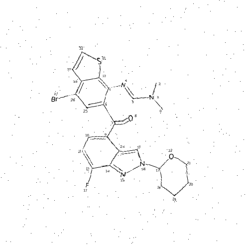 CN(C)/C=N/c1c(C(=O)c2ccc(F)c3nn(C4CCCCO4)cc23)cc(Br)c2ccsc12